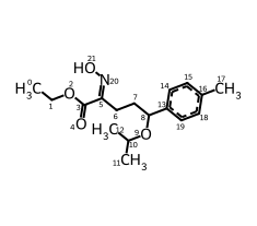 CCOC(=O)C(CCC(OC(C)C)c1ccc(C)cc1)=NO